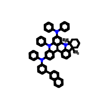 CC12CCCCC1(C)N1c3cc(N(c4ccccc4)c4ccccc4)cc4c3B(c3ccc(N(c5ccccc5)c5cccc(-c6ccc7ccccc7c6)c5)cc3N4c3ccccc3)c3cccc2c31